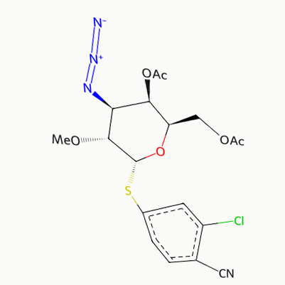 CO[C@@H]1[C@@H](N=[N+]=[N-])[C@@H](OC(C)=O)[C@@H](COC(C)=O)O[C@@H]1Sc1ccc(C#N)c(Cl)c1